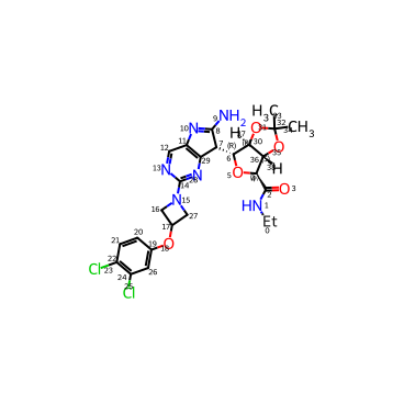 CCNC(=O)[C@H]1O[C@H](C2C(N)=Nc3cnc(N4CC(Oc5ccc(Cl)c(Cl)c5)C4)nc32)[C@H]2OC(C)(C)O[C@@H]21